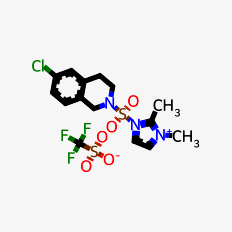 Cc1n(S(=O)(=O)N2CCc3cc(Cl)ccc3C2)cc[n+]1C.O=S(=O)([O-])C(F)(F)F